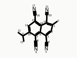 Cc1cc(C#N)c2c(C#N)c(C(C)C)cc(C#N)c2c1C#N